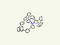 c1ccc(-c2ccc(-c3ccc4c(c3)C3(c5ccccc5-4)c4ccccc4-c4c(N(c5cccc(-c6cccc(-c7ccccc7)c6)c5)c5ccc6c(c5)C5(c7ccccc7-6)C6CC7CC(C6)CC5C7)cccc43)cc2)cc1